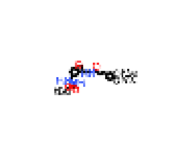 COc1ccc(C=CC(=O)NCCC2COc3ccc(C(=N)NC(=O)OC(C)(C)C)cc32)cc1OC